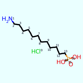 Cl.NCCCCCCCCCCCCP(=O)(O)O